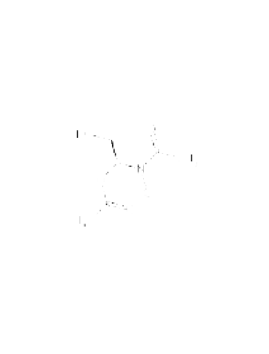 CC[C@H](OC(C)=O)N(Cl)C(C)=O